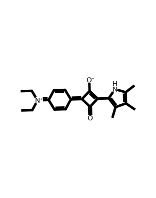 CC[N+](CC)=C1C=CC(=C2C(=O)C(c3[nH]c(C)c(C)c3C)=C2[O-])C=C1